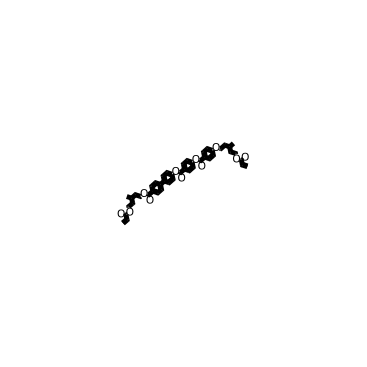 C=CC(=O)OCCC(C)CCOC(=O)c1ccc(-c2ccc(OC(=O)c3ccc(OC(=O)c4ccc(OCCC(C)CCOC(=O)C=C)cc4)cc3)cc2)cc1